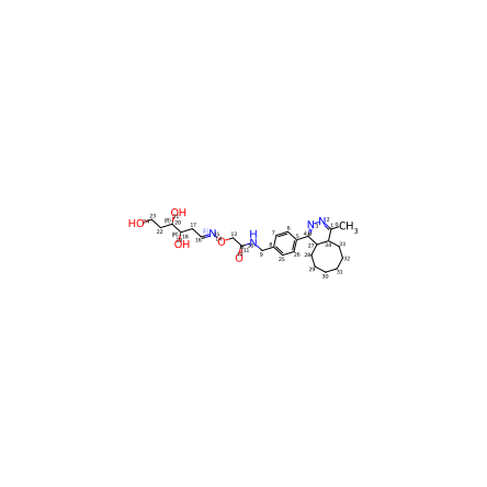 CC1=NN=C(c2ccc(CNC(=O)CO/N=C/C[C@@H](O)[C@H](O)CCO)cc2)C2CCCCCCC12